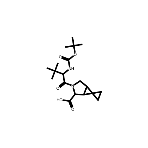 CC(C)(C)OC(=O)NC(C(=O)N1CC2C(C1C(=O)O)C21CC1)C(C)(C)C